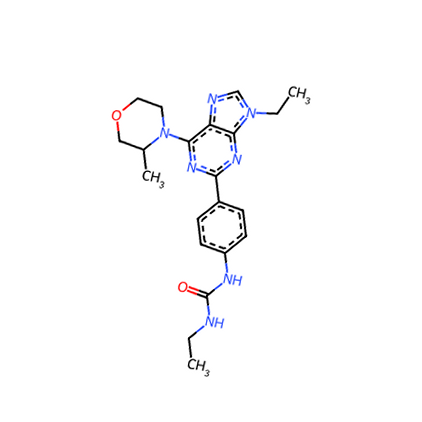 CCNC(=O)Nc1ccc(-c2nc(N3CCOCC3C)c3ncn(CC)c3n2)cc1